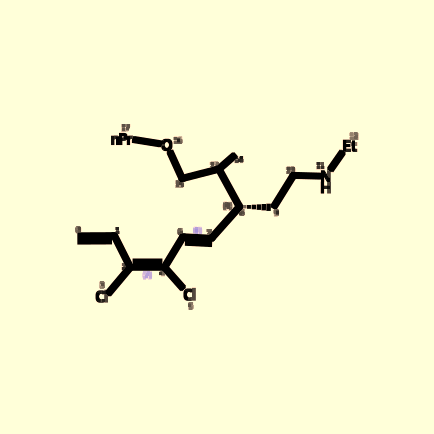 C=C/C(Cl)=C(Cl)\C=C\[C@@H](CCNCC)C(C)COCCC